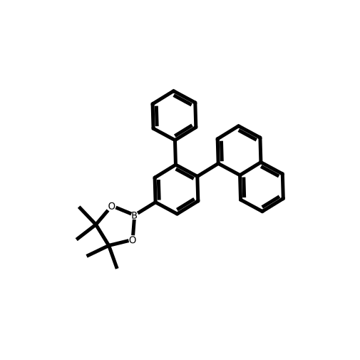 CC1(C)OB(c2ccc(-c3cccc4ccccc34)c(-c3ccccc3)c2)OC1(C)C